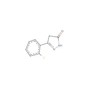 O=C1CC(c2ccccc2F)=NN1